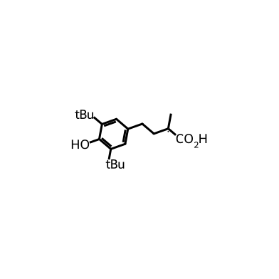 C[C](CCc1cc(C(C)(C)C)c(O)c(C(C)(C)C)c1)C(=O)O